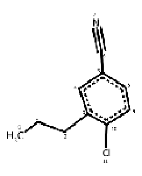 CCCc1cc(C#N)ccc1Cl